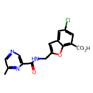 Cc1cncc(C(=O)NCc2cc3cc(Cl)cc(C(=O)O)c3o2)n1